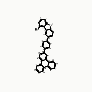 Brc1cccc2oc3ccc(-c4ccc(-c5ccc6c7ccccc7c7ccccc7c6c5)cc4)cc3c12